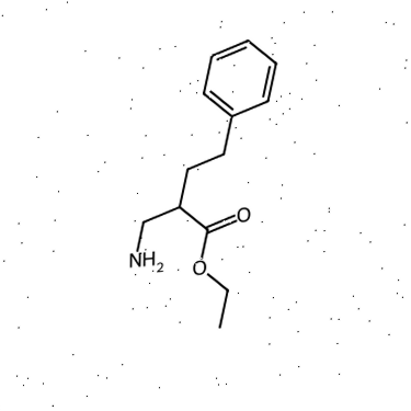 CCOC(=O)C(CN)CCc1ccccc1